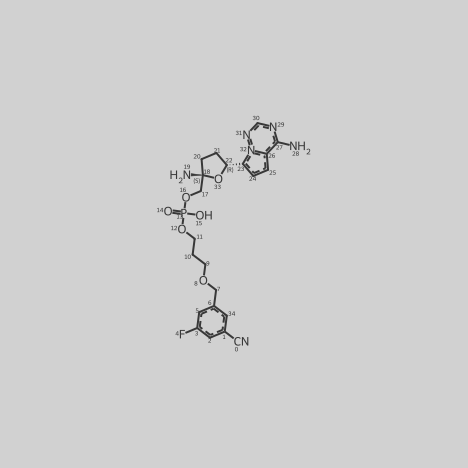 N#Cc1cc(F)cc(COCCCOP(=O)(O)OC[C@]2(N)CC[C@H](c3ccc4c(N)ncnn34)O2)c1